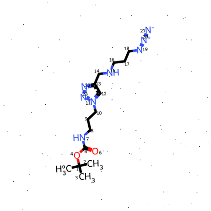 CC(C)(C)OC(=O)NCCCn1cc(CNCCCN=[N+]=[N-])nn1